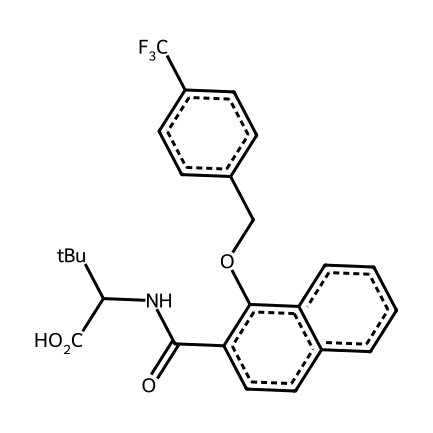 CC(C)(C)C(NC(=O)c1ccc2ccccc2c1OCc1ccc(C(F)(F)F)cc1)C(=O)O